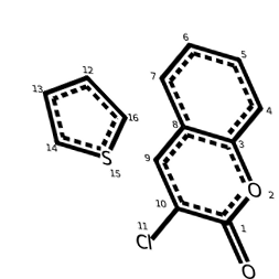 O=c1oc2ccccc2cc1Cl.c1ccsc1